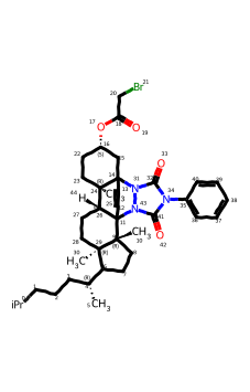 CC(C)CCC[C@@H](C)C1CC[C@@]2(C)C34C=CC5(C[C@@H](OC(=O)CBr)CC[C@]5(C)[C@H]3CC[C@]12C)n1c(=O)n(-c2ccccc2)c(=O)n14